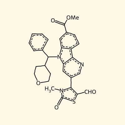 COC(=O)c1ccc2c3ncc(-c4c(C=O)sc(=O)n4C)cc3n(C(c3ccccc3)C3CCOCC3)c2c1